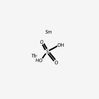 O=S(=O)(O)O.[Sm].[Tb]